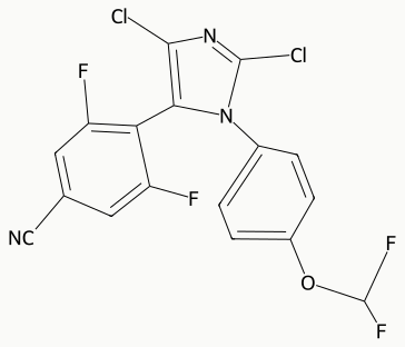 N#Cc1cc(F)c(-c2c(Cl)nc(Cl)n2-c2ccc(OC(F)F)cc2)c(F)c1